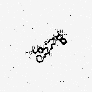 COCCc1nc2c(N)nc3ccccc3c2n1CCCN(Cc1ccc(CC(=O)O)cc1)C(=O)CCN1CCCCC1